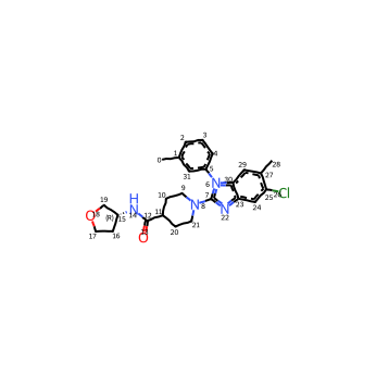 Cc1cccc(-n2c(N3CCC(C(=O)N[C@@H]4CCOC4)CC3)nc3cc(Cl)c(C)cc32)c1